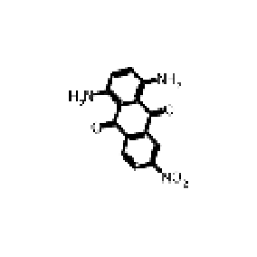 Nc1ccc(N)c2c1C(=O)c1ccc([N+](=O)[O-])cc1C2=O